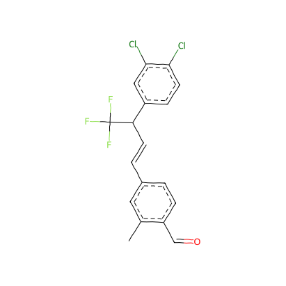 Cc1cc(/C=C/C(c2ccc(Cl)c(Cl)c2)C(F)(F)F)ccc1C=O